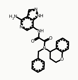 Nc1ncc(NC(=O)C(=O)N(Cc2ccccc2)C2CCOc3ccccc32)c2[nH]ncc12